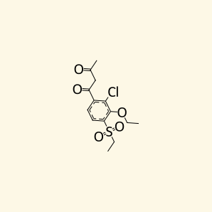 CCOc1c(S(=O)(=O)CC)ccc(C(=O)CC(C)=O)c1Cl